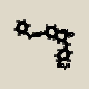 O=c1[nH]c2ccc(C#CCc3ccccc3)cc2cc1Cc1ccc(S(=O)(=O)O)cc1